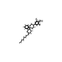 CCCCCCCCC1CCC([Si]2(c3ccccc3)CCC(c3cc(F)c(O)c(F)c3)CC2)CC1